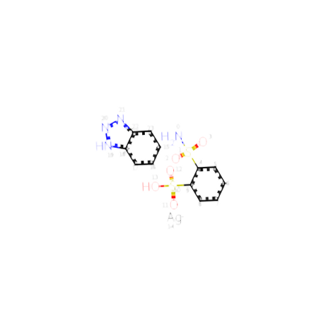 NS(=O)(=O)c1ccccc1S(=O)(=O)O.[Ag].c1ccc2[nH]nnc2c1